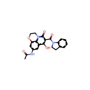 CC(=O)Nc1cc2c3c(c1)c(O)c(C(=O)N1CCc4ccccc41)c(=O)n3CCO2